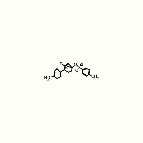 CC1=CCC(C23CCC(OS(=O)(=O)c4ccc(C)cc4)(C=C2F)CC3)CC1